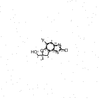 C[C@]1(CO)Cc2c(c(F)cc3nc(Cl)sc23)O1